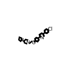 Clc1ccc(-c2ccc(-c3ccc(OCCN4CCC(N5CCCC5)CC4)cc3)nc2)cc1